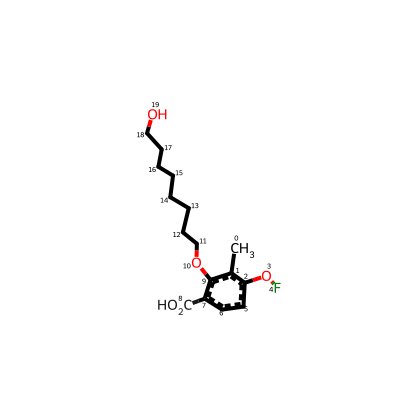 Cc1c(OF)ccc(C(=O)O)c1OCCCCCCCCO